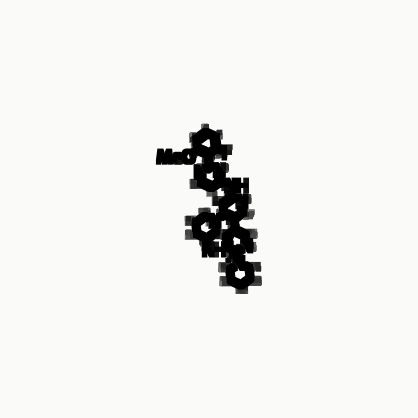 COc1cccc(F)c1-c1nccc(Nc2cc(N3CCC[C@H](N)C3)c(-c3ccc(N4CCCCC4)nc3)cn2)n1